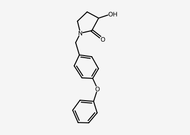 O=C1C(O)CCN1Cc1ccc(Oc2ccccc2)cc1